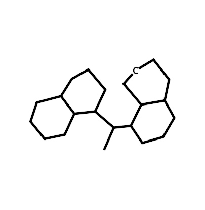 CC(C1CCCC2CCCCC21)C1CCCC2CCCCC21